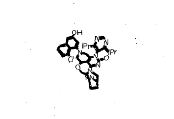 CC(C)c1ncnc(C(C)C)c1-n1c2c3c(nc1=O)N1CC4CCC(N4)C1COC3CN(c1cc(O)cc3cccc(Cl)c13)C2